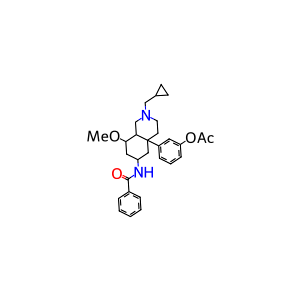 COC1CC(NC(=O)c2ccccc2)CC2(c3cccc(OC(C)=O)c3)CCN(CC3CC3)CC12